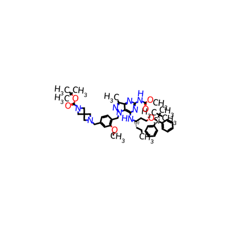 CCC[C@@H](CCO[Si](c1ccccc1)(c1ccccc1)C(C)(C)C)Nc1nc(NC(=O)OC)nc2c(C)nn(Cc3ccc(CN4CC5(C4)CN(C(=O)OC(C)(C)C)C5)cc3OC)c12